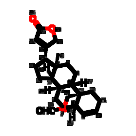 C[C@]12CC[C@H]3[C@@H](CC[C@@H]4C=CCC[C@@]43COC=O)[C@H]1CC[C@@H]2C1=CC(=O)OC1